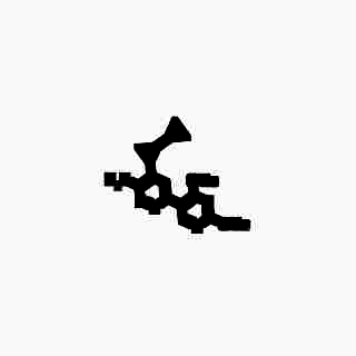 COc1ncc(-c2cc(C3CC3C3CC3)c(N)nn2)c(OC)n1